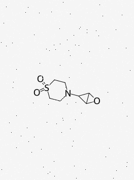 O=S1(=O)CCN(C2C3OC32)CC1